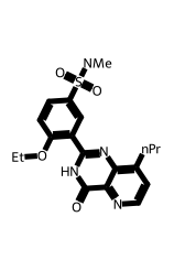 CCCc1ccnc2c(=O)[nH]c(-c3cc(S(=O)(=O)NC)ccc3OCC)nc12